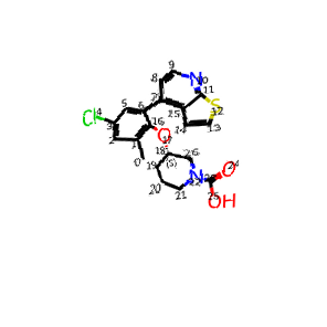 Cc1cc(Cl)cc(-c2ccnc3sccc23)c1O[C@H]1CCCN(C(=O)O)C1